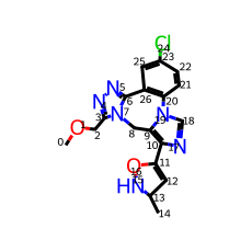 COCc1nnc2n1Cc1c(C3=CC(C)NO3)ncn1-c1ccc(Cl)cc1-2